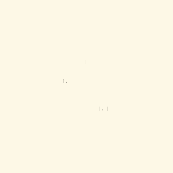 Cl.Nc1ccc(CN2CCOCC2)cc1C1=CCCCC1